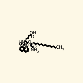 CCCCCCCCCCCCC[C@@H](CC(N)=O)OC(=O)[C@H](CCCC(=O)O)NS(=O)(=O)c1cccc2cccnc12